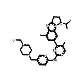 CCN1CCN(Cc2ccc(Nc3ncc(F)c(-c4cc(F)c5nc6n(c5c4)[C@H](C(F)F)CC6)n3)nc2)CC1